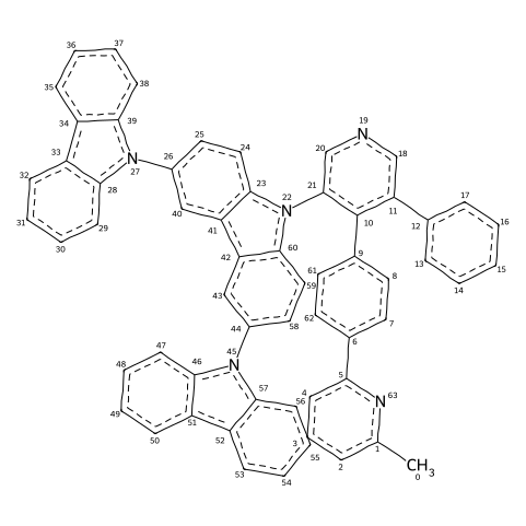 Cc1cccc(-c2ccc(-c3c(-c4ccccc4)cncc3-n3c4ccc(-n5c6ccccc6c6ccccc65)cc4c4cc(-n5c6ccccc6c6ccccc65)ccc43)cc2)n1